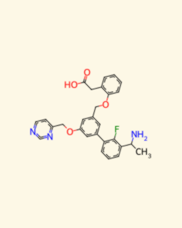 CC(N)c1cccc(-c2cc(COc3ccccc3CC(=O)O)cc(OCc3ccncn3)c2)c1F